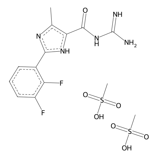 CS(=O)(=O)O.CS(=O)(=O)O.Cc1nc(-c2cccc(F)c2F)[nH]c1C(=O)NC(=N)N